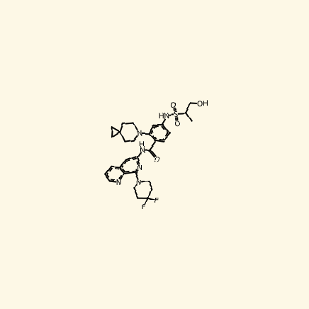 CC(CO)S(=O)(=O)Nc1ccc(C(=O)Nc2cc3cccnc3c(N3CCC(F)(F)CC3)n2)c(N2CCC3(CC2)CC3)c1